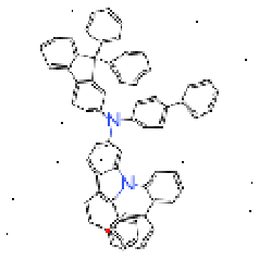 c1ccc(-c2ccc(N(c3ccc4c(c3)C(c3ccccc3)(c3ccccc3)c3ccccc3-4)c3ccc4c5ccc6ccccc6c5n(-c5ccccc5-c5ccccc5)c4c3)cc2)cc1